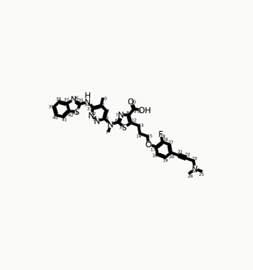 Cc1cc(N(C)c2nc(C(=O)O)c(CCCOc3ccc(C#CCN(C)C)cc3F)s2)nnc1Nc1nc2ccccc2s1